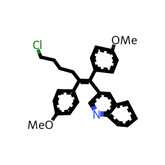 COc1ccc(/C(CCCCCl)=C(/c2ccc(OC)cc2)c2cnc3ccccc3c2)cc1